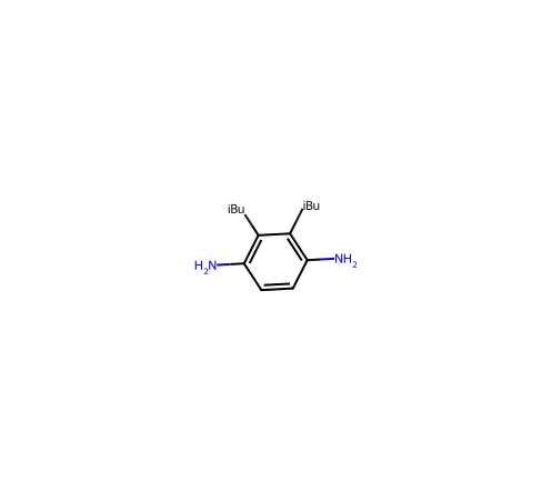 CCC(C)c1c(N)ccc(N)c1C(C)CC